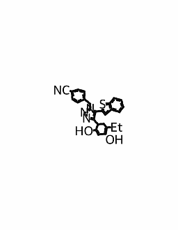 CCC1=C(O)C=C(O)C(c2nnn(Cc3ccc(C#N)cc3)c2-c2cc3ccccc3s2)C1